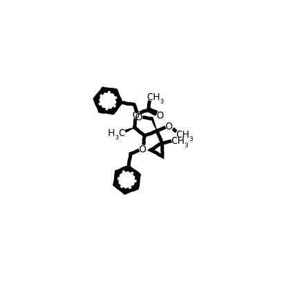 CO[C@@](COCc1ccccc1)(C(OCc1ccccc1)[C@@H](C)OC(C)=O)C1(C)CC1